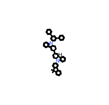 CC1(C)c2ccccc2-c2cc(N3c4ccccc4[C@@H]4C=C(C5C=c6c(n(-c7cc(-c8ccccc8)cc(-c8ccccc8)c7)c7ccccc67)=CC5)C=CC43)ccc21